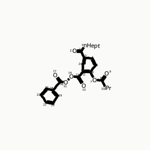 CCCCCCCC(=O)c1ccc(OC(=O)C(C)C)c(C(=O)OOC(=O)c2ccccc2)c1